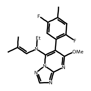 CCN(C=C(C)C)c1c(-c2cc(F)c(C)cc2F)c(OC)nc2ncnn12